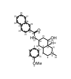 COc1cccc([C@@]23CCN(C)C[C@H]2C(O)C[C@H](NC(=O)c2ccc4ccccc4c2)C3)c1